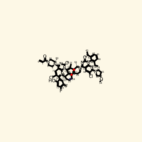 C=CC(=O)N1CCN(c2nc(=O)n(-c3c(C)cccc3C(C)C/C=C\C(=O)N3CCN(c4nc(=O)n(-c5c(CC)cccc5CC)c5nc(N6CC[C@@H](OC)C6)c(Cl)cc45)[C@@H](C)C3)c3nc(-c4cc(F)c(F)cc4O)c(Cl)cc23)[C@@H](C)C1